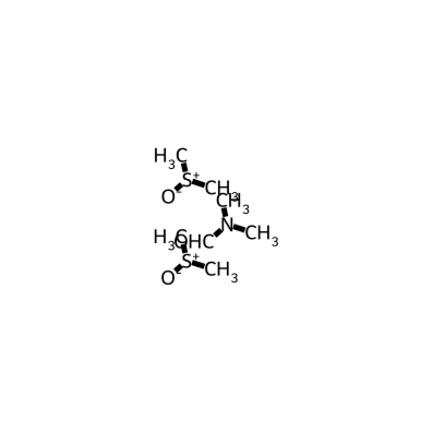 CN(C)C=O.C[S+](C)[O-].C[S+](C)[O-]